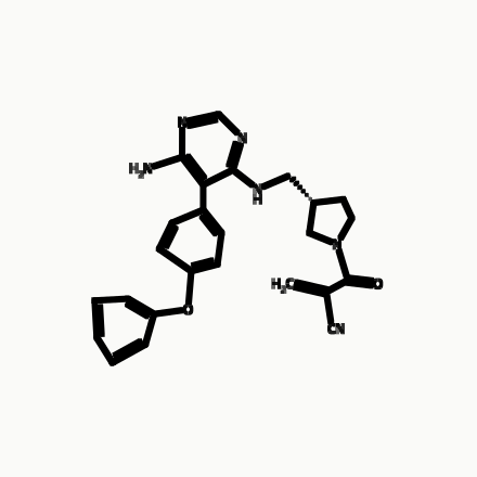 C=C(C#N)C(=O)N1CC[C@@H](CNc2ncnc(N)c2-c2ccc(Oc3ccccc3)cc2)C1